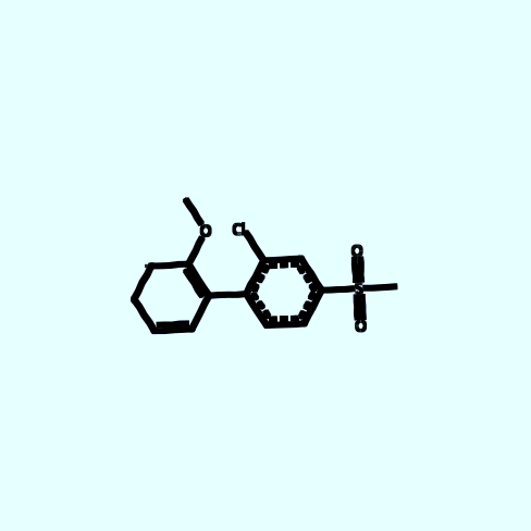 COC1=C(c2ccc(S(C)(=O)=O)cc2Cl)C=CC[CH]1